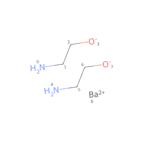 NCC[O-].NCC[O-].[Ba+2]